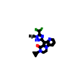 CN1NC(c2c3n(c4cccnc24)CCN(C2CC2)C3=O)N=C1C(F)F